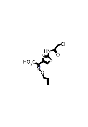 C=CCO/N=C(/C(=O)O)c1csc(NC(=O)CCl)n1